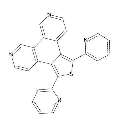 c1ccc(-c2sc(-c3ccccn3)c3c4ccncc4c4cnccc4c23)nc1